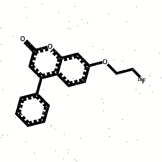 O=c1cc(-c2ccccc2)c2ccc(OCC[18F])cc2o1